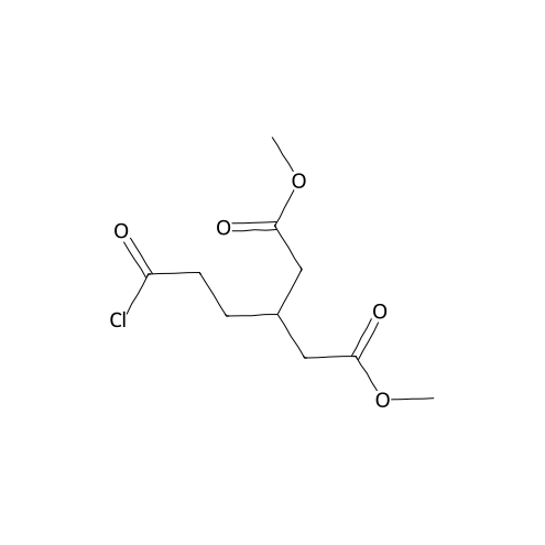 COC(=O)CC(CCC(=O)Cl)CC(=O)OC